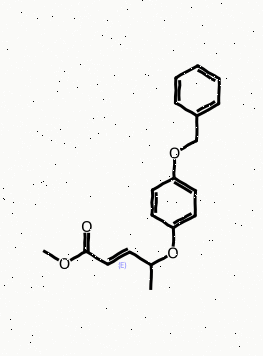 COC(=O)/C=C/C(C)Oc1ccc(OCc2ccccc2)cc1